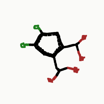 Clc1cc(C(Br)Br)c(C(Br)Br)cc1Cl